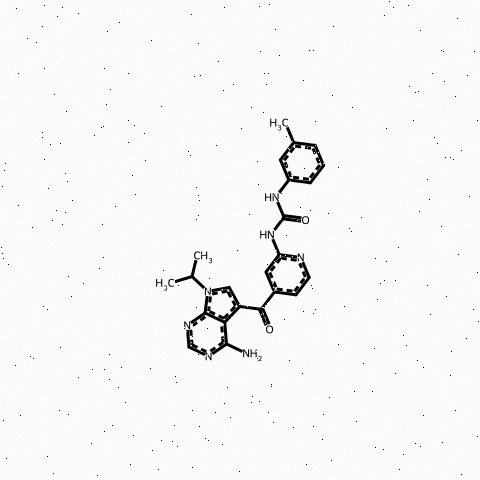 Cc1cccc(NC(=O)Nc2cc(C(=O)c3cn(C(C)C)c4ncnc(N)c34)ccn2)c1